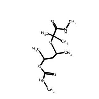 CNC(=O)OC(C)CC(C)OC(C)(C)C(=O)NC